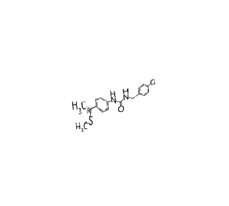 CS[C@H](C)c1ccc(NC(=O)NCc2ccc(Cl)cc2)cc1